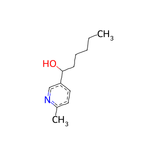 CCCCCC(O)c1ccc(C)nc1